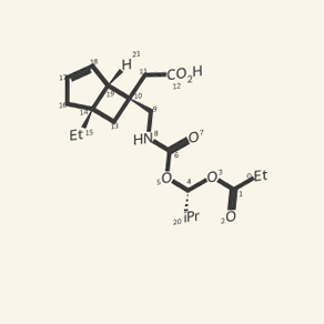 CCC(=O)O[C@@H](OC(=O)NC[C@@]1(CC(=O)O)C[C@]2(CC)CC=C[C@@H]21)C(C)C